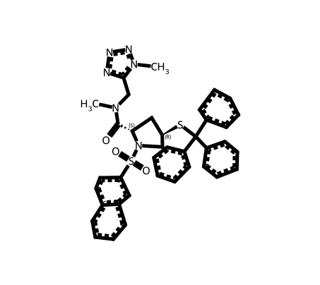 CN(Cc1nnnn1C)C(=O)[C@@H]1C[C@@H](SC(c2ccccc2)(c2ccccc2)c2ccccc2)CN1S(=O)(=O)c1ccc2ccccc2c1